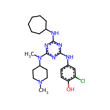 CN1CCC(N(C)c2nc(Nc3ccc(O)c(Cl)c3)nc(NC3CCCCCC3)n2)CC1